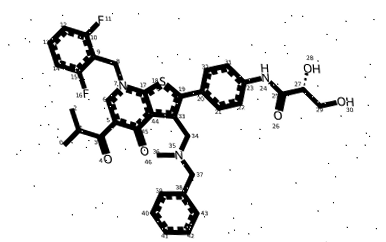 CC(C)C(=O)c1cn(Cc2c(F)cccc2F)c2sc(-c3ccc(NC(=O)[C@H](O)CO)cc3)c(CN(C)Cc3ccccc3)c2c1=O